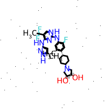 Cc1cc(Nc2nc(Nc3cc(C)c([C@H]4CC[C@H](N5C[C@H](O)[C@@H](O)C5)CC4)cc3F)ncc2C(C)(F)F)n[nH]1